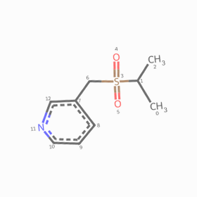 CC(C)S(=O)(=O)Cc1cccnc1